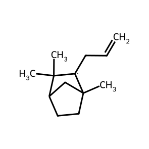 C=CC[C]1C2(C)CCC(C2)C1(C)C